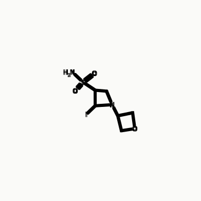 NS(=O)(=O)C1CN(C2COC2)C1I